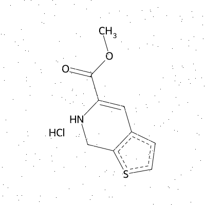 COC(=O)C1=Cc2ccsc2CN1.Cl